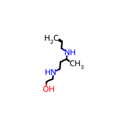 C=CCNC(C)CCNCCO